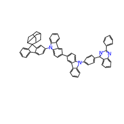 c1ccc(-c2nc(-c3ccc(-n4c5ccccc5c5cc(-c6ccc7c(c6)c6ccccc6n7-c6ccc7c(c6)C6(c8ccccc8-7)C7CC8CC(C7)CC6C8)ccc54)cc3)c3ccccc3n2)cc1